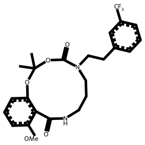 COc1cccc2c1C(=O)NCCCN(CCc1cccc(C(F)(F)F)c1)C(=O)OC(C)(C)O2